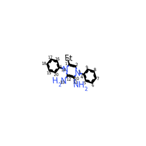 CCC1=CN(c2ccccc2)C(N)=C(N)N1c1ccccc1